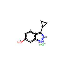 Cl.Oc1ccc2c(C3CC3)n[nH]c2c1